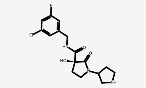 O=C(NCc1cc(F)cc(Cl)c1)[C@@]1(O)CCN(C2CCNC2)C1=O